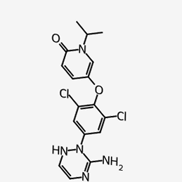 CC(C)n1cc(Oc2c(Cl)cc(N3NC=CN=C3N)cc2Cl)ccc1=O